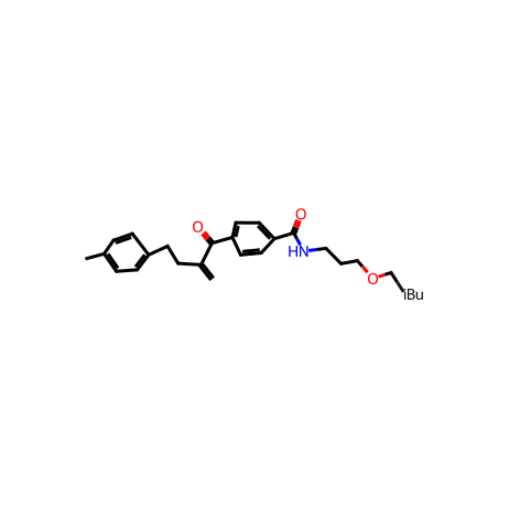 C=C(CCc1ccc(C)cc1)C(=O)c1ccc(C(=O)NCCCOCC(C)CC)cc1